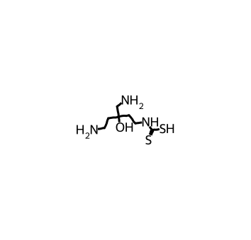 NCCC(O)(CN)CCNC(=S)S